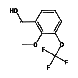 COc1c([CH]O)cccc1OC(F)(F)F